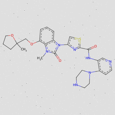 Cn1c(=O)n(-c2csc(C(=O)Nc3cnccc3N3CCNCC3)n2)c2cccc(OCC3(C)CCCO3)c21